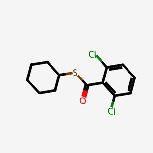 O=C(SC1CCCCC1)c1c(Cl)cccc1Cl